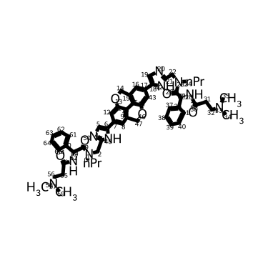 CCCN(Cc1ncc(-c2cc3c4c(c2)OCc2cc(-c5cnc(CN(CCC)C(=O)[C@H](NC(=O)CCN(C)C)c6ccccc6)[nH]5)cc(c2-4)OC3)[nH]1)C(=O)[C@H](NC(=O)CCN(C)C)c1ccccc1